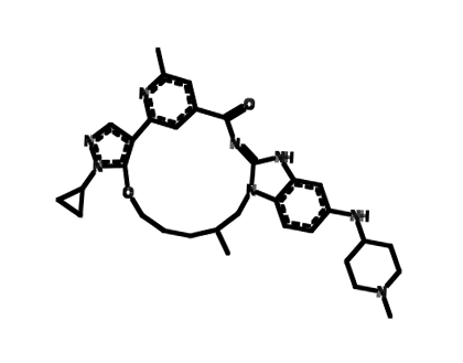 Cc1cc2cc(n1)-c1cnn(C3CC3)c1OCCCC(C)CN1/C(=N/C2=O)Nc2cc(NC3CCN(C)CC3)ccc21